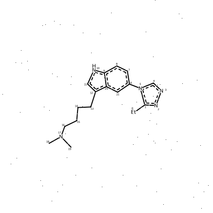 CCc1nncn1-c1ccc2[nH]cc(CCCCN(C)C)c2c1